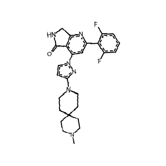 CN1CCC2(CC1)CCN(c1ccn(-c3cc(-c4c(F)cccc4F)nc4c3C(=O)NC4)n1)CC2